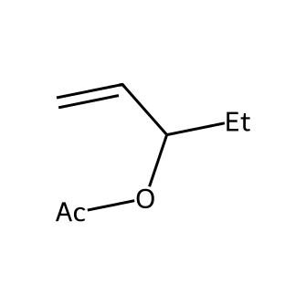 C=CC(CC)OC(C)=O